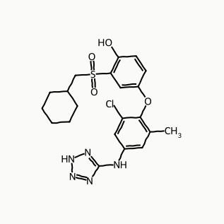 Cc1cc(Nc2nn[nH]n2)cc(Cl)c1Oc1ccc(O)c(S(=O)(=O)CC2CCCCC2)c1